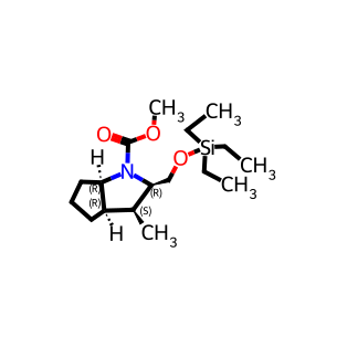 CC[Si](CC)(CC)OC[C@H]1[C@@H](C)[C@H]2CCC[C@H]2N1C(=O)OC